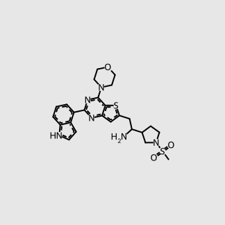 CS(=O)(=O)N1CCC(C(N)Cc2cc3nc(-c4cccc5[nH]ccc45)nc(N4CCOCC4)c3s2)C1